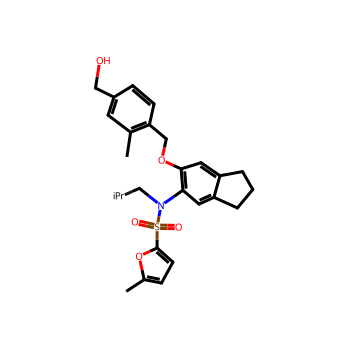 Cc1ccc(S(=O)(=O)N(CC(C)C)c2cc3c(cc2OCc2ccc(CO)cc2C)CCC3)o1